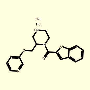 Cl.Cl.O=C(c1cc2ccccc2o1)N1CCNCC1COc1cccnc1